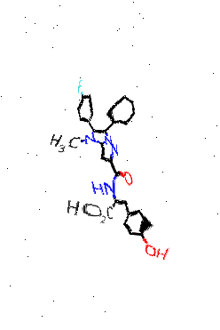 Cn1c(-c2ccc(F)cc2)c(C2CCCCC2)n2nc(C(=O)N[C@@H](Cc3ccc(O)cc3)C(=O)O)cc12